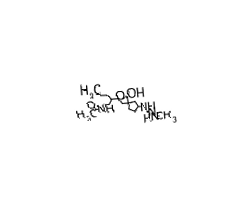 CCCC(CCNC(C)=O)CCC1(C(=O)O)CCC(NC=NNC)C1